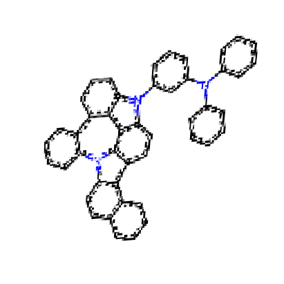 c1ccc(N(c2ccccc2)c2cccc(-n3c4cccc5c6ccccc6n6c7ccc8ccccc8c7c7ccc3c(c54)c76)c2)cc1